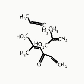 C=C(C)C(=O)O.C=CC.C=CC(=O)C=C(C)C(=O)O